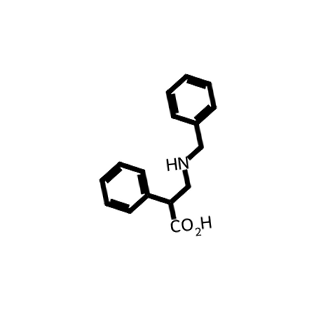 O=C(O)C(CNCc1ccccc1)c1ccccc1